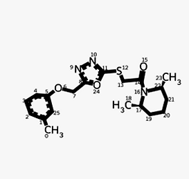 Cc1cccc(OCc2nnc(SCC(=O)N3[C@H](C)CCC[C@@H]3C)o2)c1